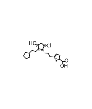 O=C(O)c1ccc(CCC[C@@H]2[C@@H](CCC3CCCC3)[C@H](O)C[C@H]2Cl)s1